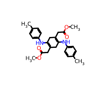 COC(=O)CC1=C(Nc2ccc(C)cc2)CC(CC(=O)OC)=C(Nc2ccc(C)cc2)C1